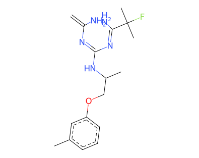 C=C(N)/N=C(\N=C(/N)C(C)(C)F)NC(C)COc1cccc(C)c1